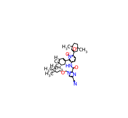 CC1(C)CC=C(c2c(NC(=O)c3nc(C#N)cn3COCC[Si](C)(C)C)ccc(C3=CC4(C)CCC(C)(C3)O4)[n+]2[O-])CC1